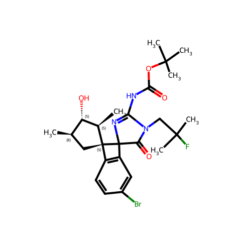 C[C@@H]1C[C@@]2(c3ccc(Br)cc3C23N=C(NC(=O)OC(C)(C)C)N(CC(C)(C)F)C3=O)[C@H](C)[C@H]1O